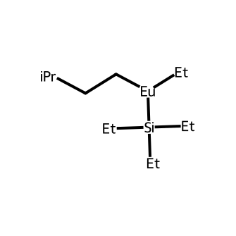 C[CH2][Eu]([CH2]CC(C)C)[Si](CC)(CC)CC